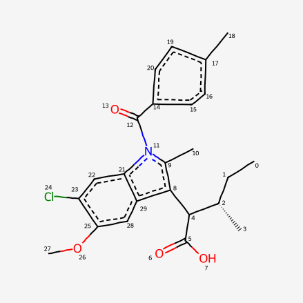 CC[C@H](C)C(C(=O)O)c1c(C)n(C(=O)c2ccc(C)cc2)c2cc(Cl)c(OC)cc12